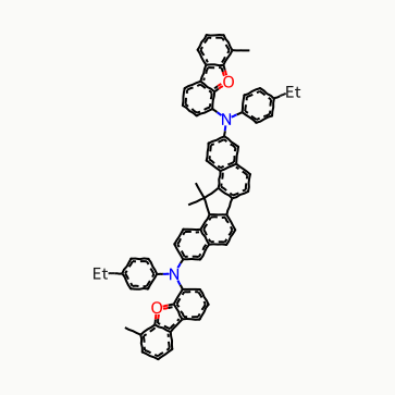 CCc1ccc(N(c2ccc3c4c(ccc3c2)-c2ccc3cc(N(c5ccc(CC)cc5)c5cccc6c5oc5c(C)cccc56)ccc3c2C4(C)C)c2cccc3c2oc2c(C)cccc23)cc1